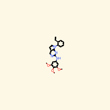 C=Cc1ccccc1-n1ccc2cnc(Nc3cc(OC)c(OC)c(OC)c3)nc21